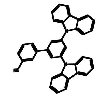 N#Cc1cccc(-c2cc(-n3c4ccccc4c4ccccc43)cc(-n3c4ccccc4c4ccccc43)c2)c1